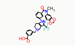 CN(C(=O)c1cccc(-n2nc(C(F)(F)F)c3c2CCN(Cc2cccc(C(=O)O)c2)C3)c1)c1ccc2c(c1)OCO2